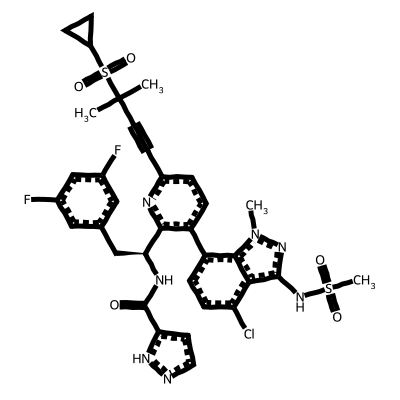 Cn1nc(NS(C)(=O)=O)c2c(Cl)ccc(-c3ccc(C#CC(C)(C)S(=O)(=O)C4CC4)nc3[C@H](Cc3cc(F)cc(F)c3)NC(=O)c3ccn[nH]3)c21